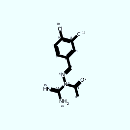 CC(=O)N(/N=C/c1ccc(Cl)c(Cl)c1)C(=N)N